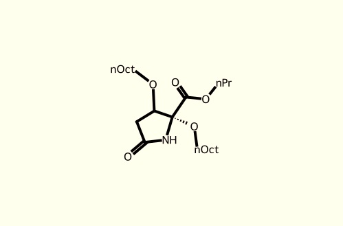 CCCCCCCCOC1CC(=O)N[C@]1(OCCCCCCCC)C(=O)OCCC